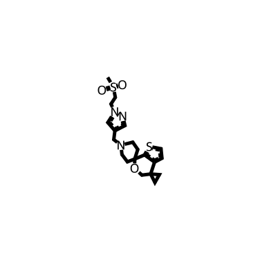 CS(=O)(=O)CCn1cc(CN2CCC3(CC2)OCC2(CC2)c2ccsc23)cn1